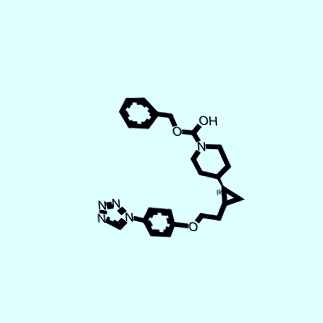 OC(OCc1ccccc1)N1CCC([C@H]2CC2CCOc2ccc(-n3cnnn3)cc2)CC1